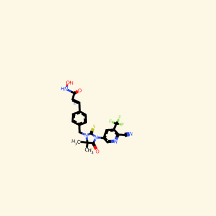 CC1(C)C(=O)N(c2cnc(C#N)c(C(F)(F)F)c2)C(=S)N1Cc1ccc(/C=C/C(=O)NO)cc1